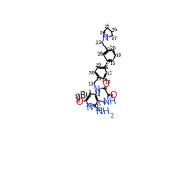 CCCCOc1cc2c([nH]c(=O)c(=O)n2Cc2ccc(-c3cccc(CN4CCCC4)c3)cc2)c(N)n1